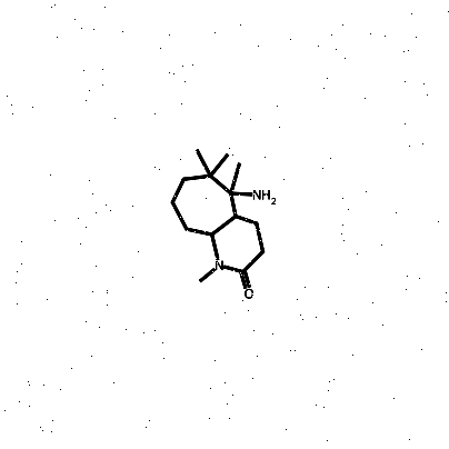 CN1C(=O)CCC2C1CCCC(C)(C)C2(C)N